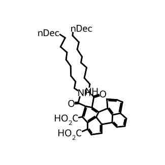 CCCCCCCCCCCCCCCCCCNC(=O)c1c(C(=O)O)c2c(C(=O)O)ccc3c4cccc5cccc(c(c1C(=O)NCCCCCCCCCCCCCCCCCC)c23)c54